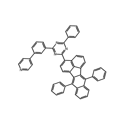 c1ccc(-c2nc(-c3cccc(-c4ccncc4)c3)nc(-c3ccc4c5c(cccc35)-c3c-4c(-c4ccccc4)c4ccccc4c3-c3ccccc3)n2)cc1